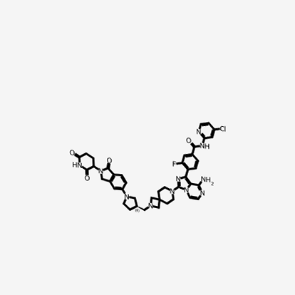 Nc1nccn2c(N3CCC4(CC3)CN(C[C@H]3CCN(c5ccc6c(c5)CN(C5CCC(=O)NC5=O)C6=O)C3)C4)nc(-c3ccc(C(=O)Nc4cc(Cl)ccn4)cc3F)c12